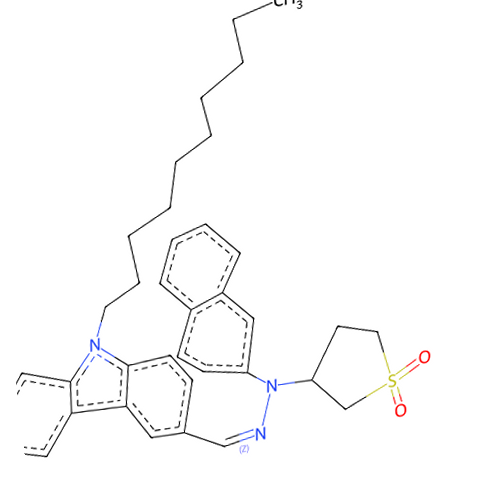 CCCCCCCCCCn1c2ccccc2c2cc(/C=N\N(c3ccc4ccccc4c3)C3CCS(=O)(=O)C3)ccc21